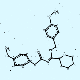 COc1ccc(CN/C(=N\C(=N)Cc2ccc(OC)cc2)C2CCCCO2)cc1